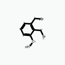 CCCOc1cccc(CBr)c1CBr